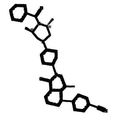 Cc1cn(-c2ccc(N3C[C@@H](C)N(C(=O)c4ccccc4)[C@H](C)C3)cc2)c(=O)c2cccc(-c3ccc(C#N)cc3)c12